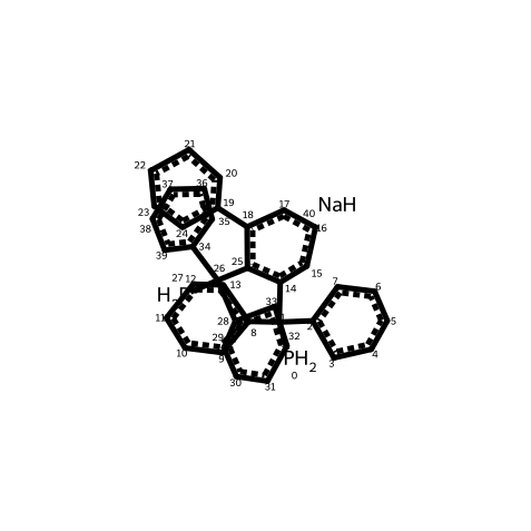 PC(c1ccccc1)(c1ccccc1)c1cccc(-c2ccccc2)c1C(P)(c1ccccc1)c1ccccc1.[NaH]